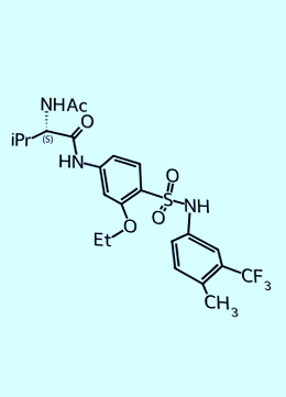 CCOc1cc(NC(=O)[C@@H](NC(C)=O)C(C)C)ccc1S(=O)(=O)Nc1ccc(C)c(C(F)(F)F)c1